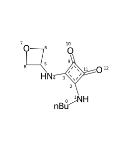 CCCCNc1c(NC2COC2)c(=O)c1=O